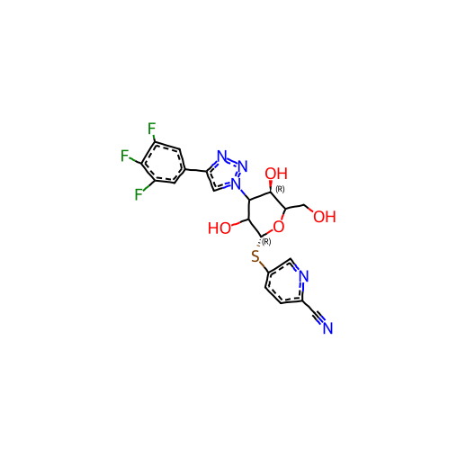 N#Cc1ccc(S[C@H]2OC(CO)[C@H](O)C(n3cc(-c4cc(F)c(F)c(F)c4)nn3)C2O)cn1